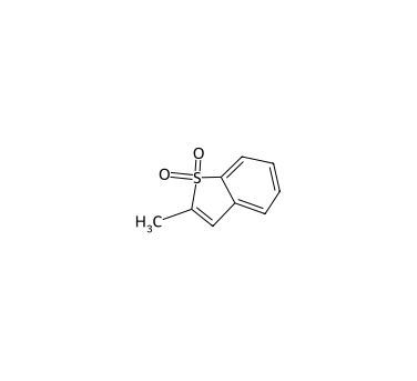 CC1=Cc2ccccc2S1(=O)=O